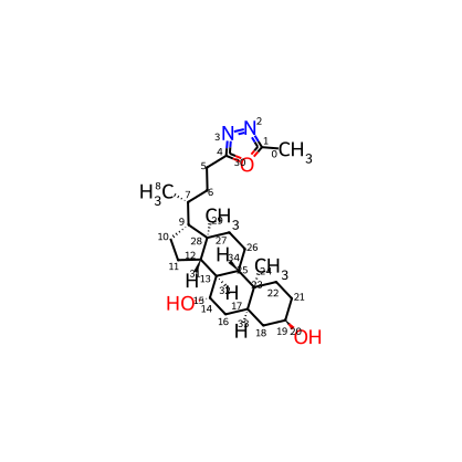 Cc1nnc(CC[C@@H](C)[C@H]2CC[C@H]3[C@@H]4[C@@H](O)C[C@@H]5C[C@H](O)CC[C@]5(C)[C@H]4CC[C@]23C)o1